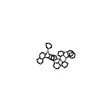 c1ccc(-n2c3ccc(-c4ccccc4C4(c5ccccc5)c5ccccc5C5(c6ccccc6)c6ccccc6-c6cccc4c65)cc3c3c4ccccc4ccc32)cc1